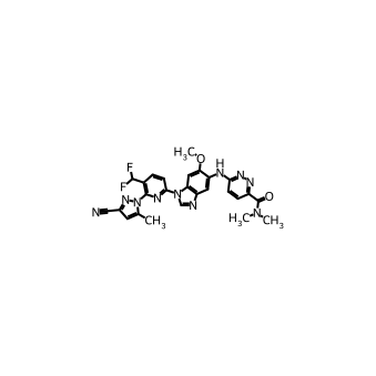 COc1cc2c(cc1Nc1ccc(C(=O)N(C)C)nn1)ncn2-c1ccc(C(F)F)c(-n2nc(C#N)cc2C)n1